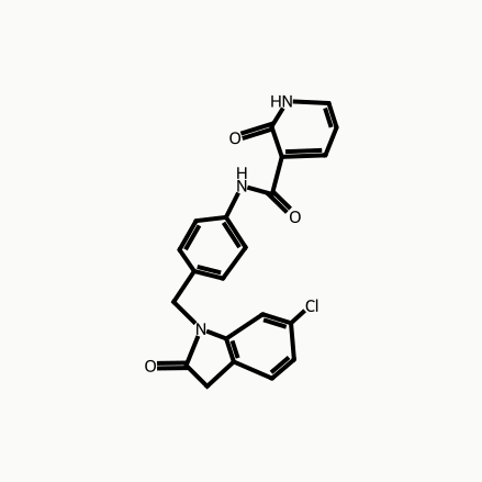 O=C(Nc1ccc(CN2C(=O)Cc3ccc(Cl)cc32)cc1)c1ccc[nH]c1=O